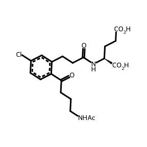 CC(=O)NCCCC(=O)c1ccc(Cl)cc1CCC(=O)N[C@@H](CCC(=O)O)C(=O)O